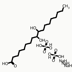 CCCCCCCCC(O)C(O)CCCCCCCC(=O)O.O=S(=O)(O)O.O=S(=O)(O)O.[NaH].[NaH].[NaH]